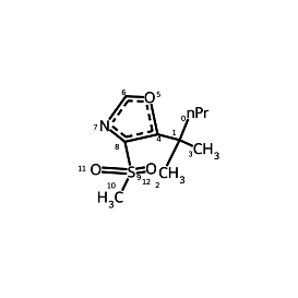 CCCC(C)(C)c1ocnc1S(C)(=O)=O